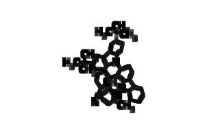 Cc1cccc(C)c1-n1c2ccccc2c2ccc(-n3c4ccc(C(C)(C)C)cc4c4cc(C(C)(C)C)ccc43)c(-c3cccc(C#N)c3C#N)c21